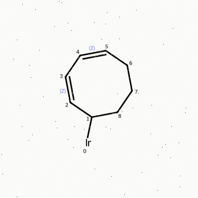 [Ir][CH]1/C=C\C=C/CCC1